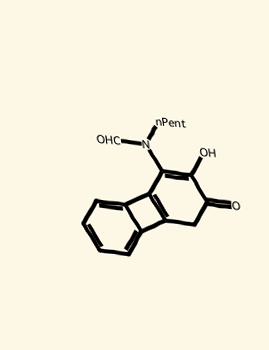 CCCCCN(C=O)C1=C(O)C(=O)CC2=C1c1ccccc12